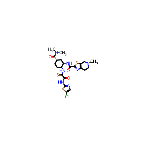 CN1CCc2nc(C(=O)N[C@@H]3C[C@@H](C(=O)N(C)C)CC[C@@H]3NC(=S)C(=O)Nc3ncc(Cl)s3)sc2C1